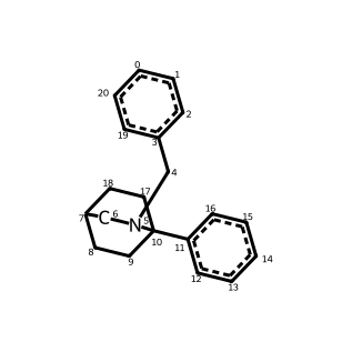 c1ccc(CN2CC3CCC2(c2ccccc2)CC3)cc1